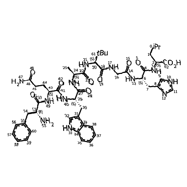 CC(C)C[C@H](NC(=O)[C@H](Cc1c[nH]cn1)NC(=O)CNC(=O)[C@@H](NC(=O)[C@H](C)NC(=O)[C@H](Cc1c[nH]c2ccccc12)NC(=O)[C@H](CCC(N)=O)NC(=O)[C@H](N)Cc1ccccc1)C(C)(C)C)C(=O)O